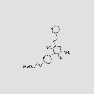 COCCOc1ccc(-c2c(C#N)c(N)nc(SCc3cccnc3)c2C#N)cc1